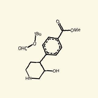 CC(C)(C)OC=O.COC(=O)c1ccc(C2CCNCC2O)cc1